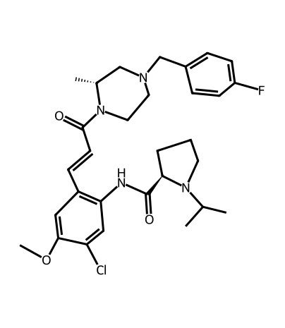 COc1cc(/C=C/C(=O)N2CCN(Cc3ccc(F)cc3)C[C@H]2C)c(NC(=O)[C@H]2CCCN2C(C)C)cc1Cl